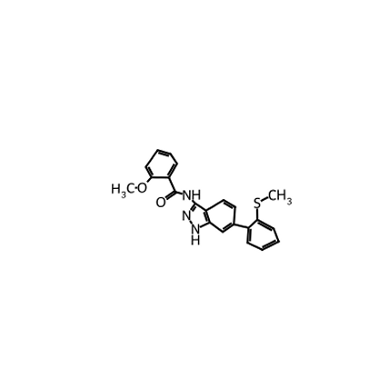 COc1ccccc1C(=O)Nc1n[nH]c2cc(-c3ccccc3SC)ccc12